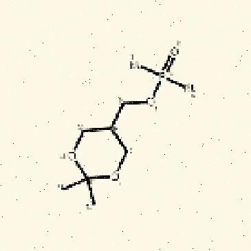 CCP(=O)(CC)OCC1COC(C)(C)OC1